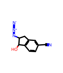 N#Cc1ccc2c(c1)CC(N=[N+]=[N-])C2O